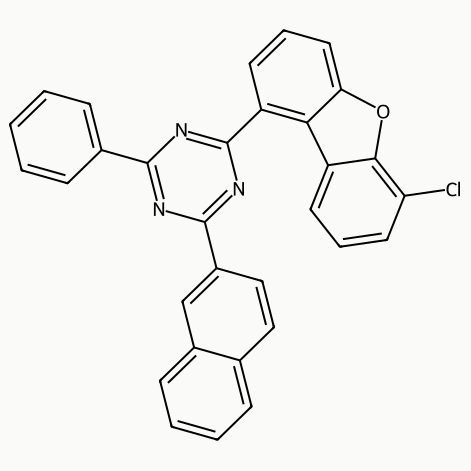 Clc1cccc2c1oc1cccc(-c3nc(-c4ccccc4)nc(-c4ccc5ccccc5c4)n3)c12